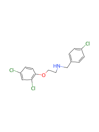 Clc1ccc(CNCCOc2ccc(Cl)cc2Cl)cc1